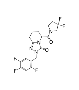 O=C(C1CCCc2nn(Cc3cc(F)c(F)cc3F)c(=O)n21)N1CCC(F)(F)C1